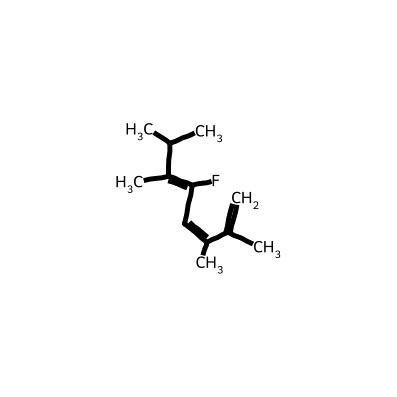 C=C(C)/C(C)=C\C(F)=C(/C)C(C)C